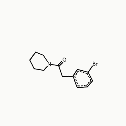 O=C(Cc1cccc(Br)c1)N1CCCCC1